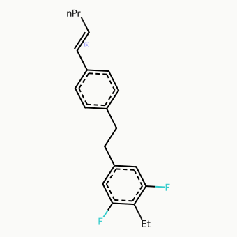 CCC/C=C/c1ccc(CCc2cc(F)c(CC)c(F)c2)cc1